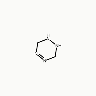 C1N=NCNN1